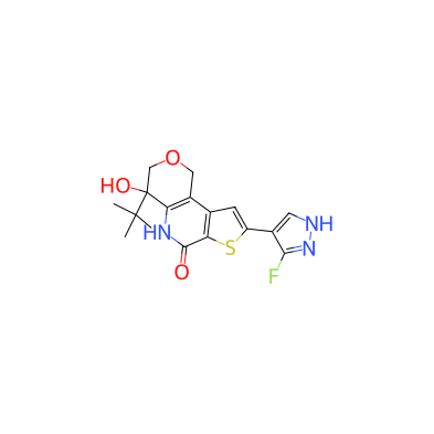 CC(C)(C)C1(O)COCc2c1[nH]c(=O)c1sc(-c3c[nH]nc3F)cc21